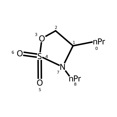 CCCC1COS(=O)(=O)N1CCC